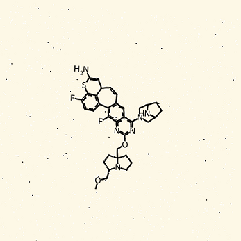 COCC1CCC2(COc3nc(N4CC5CCC(C4)N5)c4cc5c(c(F)c4n3)-c3ccc(F)c4c3C(C=C5)C=C(N)S4)CCCN12